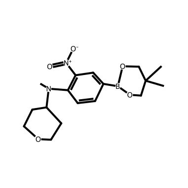 CN(c1ccc(B2OCC(C)(C)CO2)cc1[N+](=O)[O-])C1CCOCC1